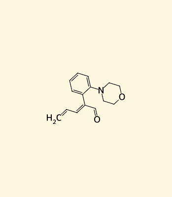 C=C/C=C(/C=O)c1ccccc1N1CCOCC1